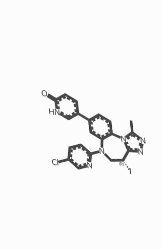 Cc1nnc2n1-c1ccc(-c3ccc(=O)[nH]c3)cc1N(c1ccc(Cl)cn1)C[C@H]2I